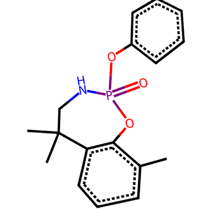 Cc1cccc2c1OP(=O)(Oc1ccccc1)NCC2(C)C